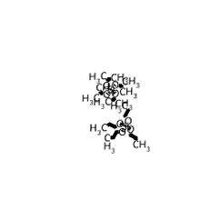 CC(C)O[Si](OC(C)C)(OC(C)C)OC(C)C.CCCO[Si](OCCC)(OCCC)OCCC